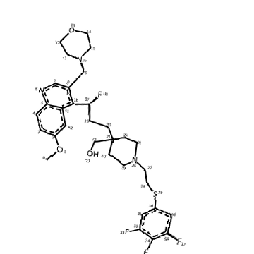 COc1ccc2ncc(CN3CCOCC3)c([C@@H](F)CCC3(CO)CCN(CCSc4cc(F)c(F)c(F)c4)CC3)c2c1